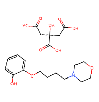 O=C(O)CC(O)(CC(=O)O)C(=O)O.Oc1ccccc1OCCCCN1CCOCC1